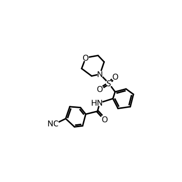 N#Cc1ccc(C(=O)Nc2ccccc2S(=O)(=O)N2CCOCC2)cc1